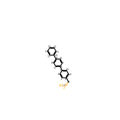 PCc1ccc(-c2ccc(-c3ccccc3)cc2)cc1